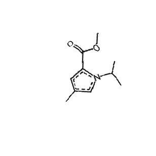 COC(=O)c1cc(C)cn1C(C)C